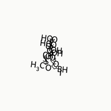 CSSC(C)OC1CC(BI)OC1COP(=O)(O)OP(=O)(O)OP(=O)(O)O